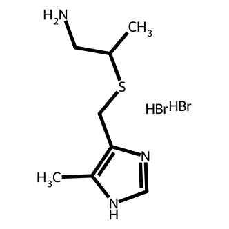 Br.Br.Cc1[nH]cnc1CSC(C)CN